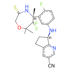 CC1(C)OCC(=S)N[C@](C)(c2cc(N[C@@H]3CCc4cc(C#N)cnc43)ccc2F)C1(F)F